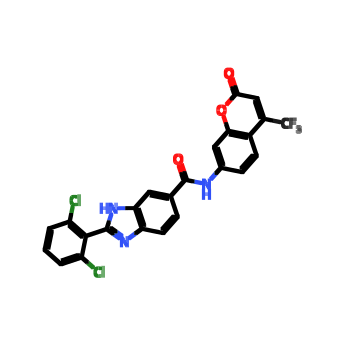 O=C(Nc1ccc2c(C(F)(F)F)cc(=O)oc2c1)c1ccc2nc(-c3c(Cl)cccc3Cl)[nH]c2c1